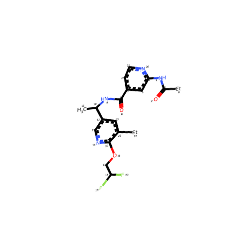 CCC(=O)Nc1cc(C(=O)NC(C)c2cnc(OCC(F)F)c(CC)c2)ccn1